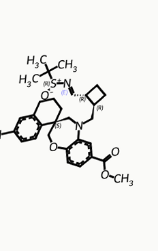 COC(=O)c1ccc2c(c1)N(C[C@@H]1CC[C@H]1/C=N/[S@@+]([O-])C(C)(C)C)C[C@@]1(CCCc3cc(Cl)ccc31)CO2